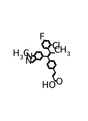 CCC(=C(c1ccc(C=CC(=O)O)cc1)c1ccc2c(cnn2C)c1)c1ccc(F)cc1Cl